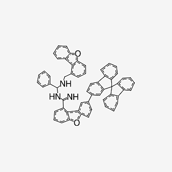 N=C(NC(NCc1cccc2oc3ccccc3c12)c1ccccc1)c1cccc2oc3ccc(-c4ccc5c(c4)C4(c6ccccc6-c6ccccc64)c4ccccc4-5)cc3c12